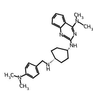 CN(C)c1ccc(CN[C@H]2CC[C@@H](Nc3nc(N(C)C)c4ccccc4n3)CC2)cc1